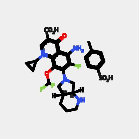 Cc1ccc(S(=O)(=O)O)cc1.Nc1c(F)c(N2C[C@H]3CCCN[C@H]3C2)c(OC(F)F)c2c1c(=O)c(C(=O)O)cn2C1CC1